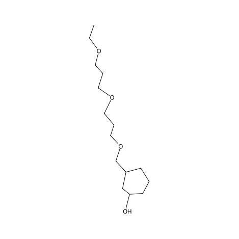 CCOCCCOCCCOCC1CCCC(O)C1